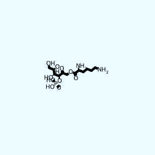 NCCCC[C@H](N)C(=O)OCC(=O)[C@@H](OP(=O)(O)O)[C@H](O)[C@H](O)CO